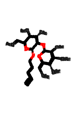 C=CCCCO[C@@H]1OC(COC(C)=O)[C@@H](OC(C)=O)[C@H](OC(C)=O)C1O[C@@H]1OC(COC(C)=O)[C@@H](OC(C)=O)[C@H](OC(C)=O)C1OC(C)=O